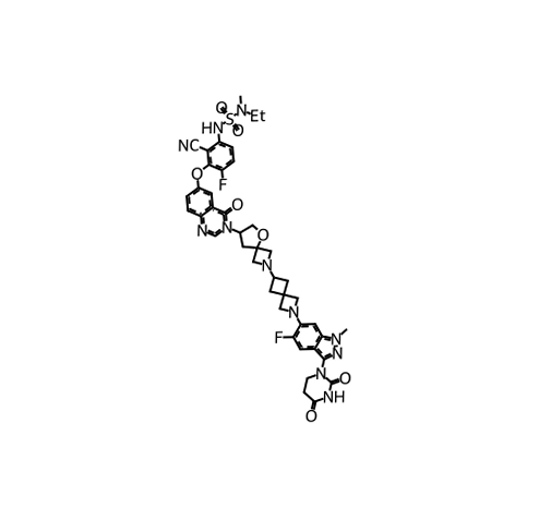 CCN(C)S(=O)(=O)Nc1ccc(F)c(Oc2ccc3ncn(C4COC5(C4)CN(C4CC6(C4)CN(c4cc7c(cc4F)c(N4CCC(=O)NC4=O)nn7C)C6)C5)c(=O)c3c2)c1C#N